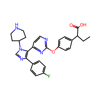 CCC(C(=O)O)c1ccc(Oc2nccc(-c3c(-c4ccc(F)cc4)ncn3C3CCNCC3)n2)cc1